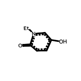 CCn1cc(O)ccc1=O